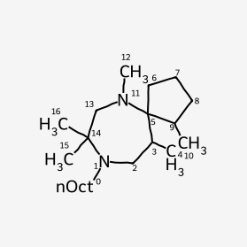 CCCCCCCCN1CC(C)C2(CCCC2C)N(C)CC1(C)C